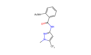 CC(=O)Nc1ccccc1C(=O)Nc1cc(C(F)(F)F)n(C)n1